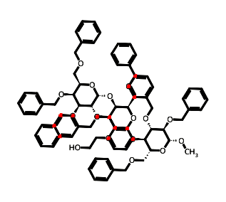 CO[C@@H]1O[C@H](COCc2ccccc2)[C@@H](O[C@@H]2O[C@H](COCc3ccccc3)[C@H](O[C@H]3O[C@H](COCc4ccccc4)[C@H](OCc4ccccc4)[C@H](OCc4ccccc4)[C@H]3OCc3ccccc3)[C@H](OCc3ccccc3)[C@H]2OCCO)[C@H](OCc2ccccc2)[C@H]1OCc1ccccc1